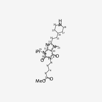 COC(=O)CCCCn1c(=O)c2c(nc(CCC3CCNCC3)n2C)n(C(C)C)c1=O